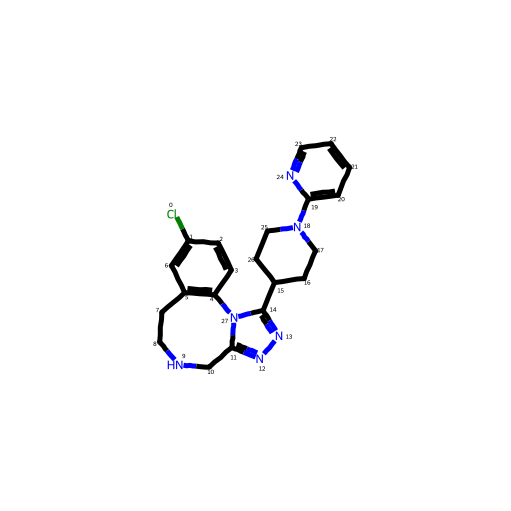 Clc1ccc2c(c1)CCNCc1nnc(C3CCN(c4ccccn4)CC3)n1-2